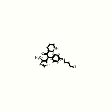 Cc1ncsc1C(C(=O)C1CCCNC1)c1ccc(OCCCCl)cc1